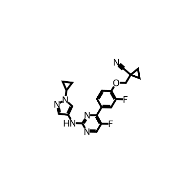 N#CC1(COc2ccc(-c3nc(Nc4cnn(C5CC5)c4)ncc3F)cc2F)CC1